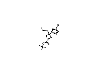 CC(C)(C)OC(=O)N1CC(CCF)(n2cc(Br)cn2)C1